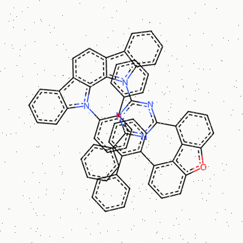 c1ccc(-c2nc(-c3cccc4oc5cccc(-c6ccccc6-c6ccccc6)c5c34)nc(-n3c4ccccc4c4ccc5c6ccccc6n(-c6ccccc6-c6ccccc6)c5c43)n2)cc1